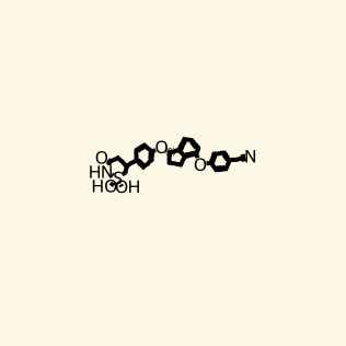 N#Cc1ccc(Oc2cccc3c2CC[C@H]3Oc2ccc(C3CC(=O)NS(O)(O)C3)cc2)cc1